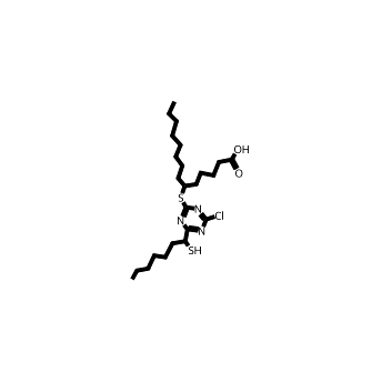 CCCCCCCCC(CCCCC(=O)O)Sc1nc(Cl)nc(C(S)CCCCCC)n1